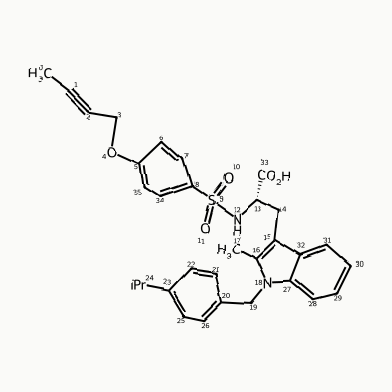 CC#CCOc1ccc(S(=O)(=O)N[C@@H](Cc2c(C)n(Cc3ccc(C(C)C)cc3)c3ccccc23)C(=O)O)cc1